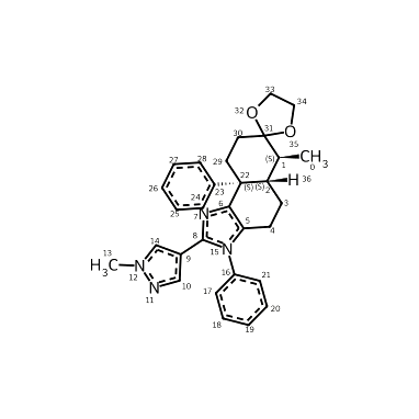 C[C@H]1[C@@H]2CCc3c(nc(-c4cnn(C)c4)n3-c3ccccc3)[C@@]2(c2ccccc2)CCC12OCCO2